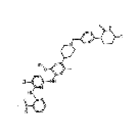 Cc1cc(Nc2ncc(Cl)c(Nc3ccccc3S(=O)(=O)C(C)C)n2)c(OC(C)C)cc1C1CCN(Cc2ccc(C3CCC(=O)NC3=O)cc2)CC1